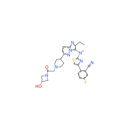 CCc1nc2ccc(C3CCN(CC(=O)N4CC(O)C4)CC3)nn2c1N(C)c1nc(-c2ccc(F)cc2C#N)cs1